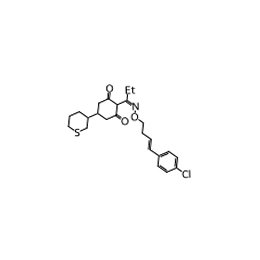 CCC(=NOCCC=Cc1ccc(Cl)cc1)C1C(=O)CC(C2CCCSC2)CC1=O